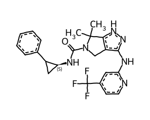 CC1(C)c2[nH]nc(Nc3cc(C(F)(F)F)ccn3)c2CN1C(=O)N[C@H]1CC1c1ccccc1